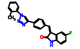 Cc1ccccc1-n1cc(-c2ccc(/C=C3\C(=O)Nc4ccc(F)cc43)cc2)nn1